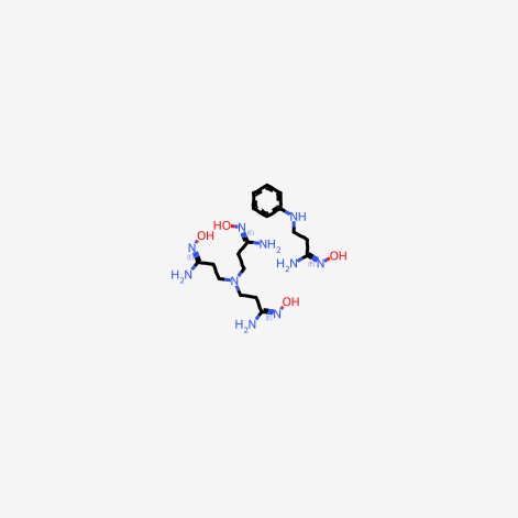 N/C(CCN(CC/C(N)=N\O)CC/C(N)=N\O)=N/O.N/C(CCNc1ccccc1)=N/O